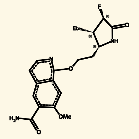 CC[C@H]1[C@@H](CCOc2nccc3cc(C(N)=O)c(OC)cc23)NC(=O)[C@@H]1F